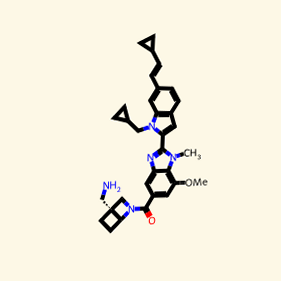 COc1cc(C(=O)N2C[C@]3(CN)CCC23)cc2nc(-c3cc4ccc(/C=C/C5CC5)cc4n3CC3CC3)n(C)c12